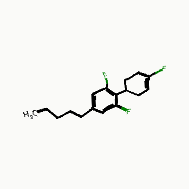 CCCCCc1cc(F)c(C2CC=C(F)CC2)c(F)c1